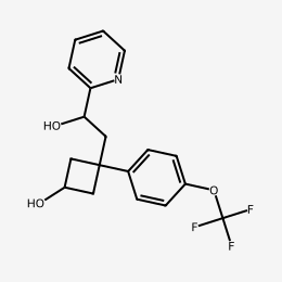 OC1CC(CC(O)c2ccccn2)(c2ccc(OC(F)(F)F)cc2)C1